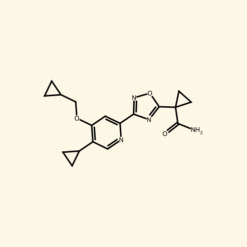 NC(=O)C1(c2nc(-c3cc(OCC4CC4)c(C4CC4)cn3)no2)CC1